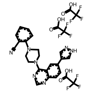 N#Cc1ccccc1N1CCN(c2ncnc3ccc(-c4cn[nH]c4)cc23)CC1.O=C(O)C(F)(F)F.O=C(O)C(F)(F)F.O=C(O)C(F)(F)F